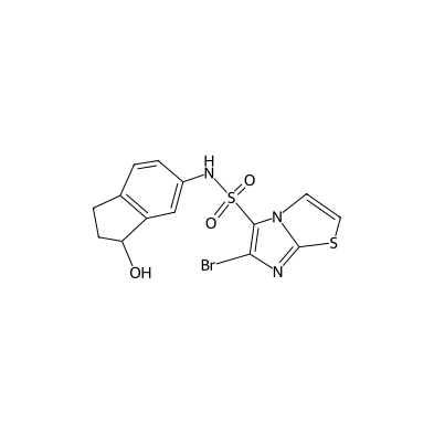 O=S(=O)(Nc1ccc2c(c1)C(O)CC2)c1c(Br)nc2sccn12